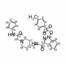 Cc1ccc(S(=O)(=O)On2nc(C(=O)NCC3CCN(CC(=O)Nc4ccccc4)CC3)c3ccccc32)cc1